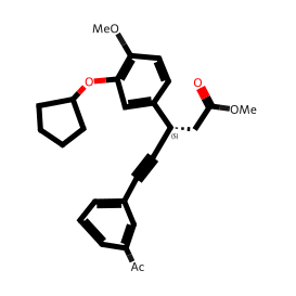 COC(=O)C[C@H](C#Cc1cccc(C(C)=O)c1)c1ccc(OC)c(OC2CCCC2)c1